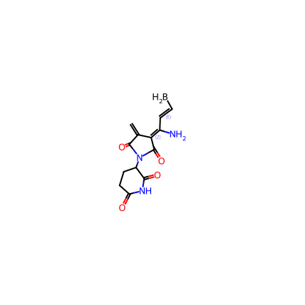 B/C=C/C(N)=C1\C(=C)C(=O)N(C2CCC(=O)NC2=O)C1=O